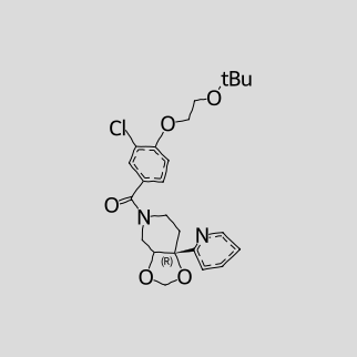 CC(C)(C)OCCOc1ccc(C(=O)N2CC[C@]3(c4ccccn4)OCOC3C2)cc1Cl